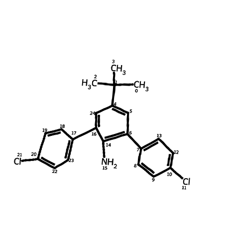 CC(C)(C)c1cc(-c2ccc(Cl)cc2)c(N)c(-c2ccc(Cl)cc2)c1